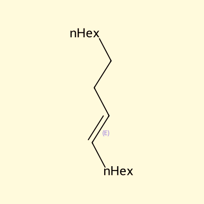 [CH2]CCCCCCC/C=C/CCCCCC